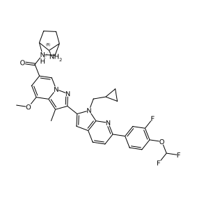 COc1cc(C(=O)N2CC3CCC2[C@@H]3N)cn2nc(-c3cc4ccc(-c5ccc(OC(F)F)c(F)c5)nc4n3CC3CC3)c(C)c12